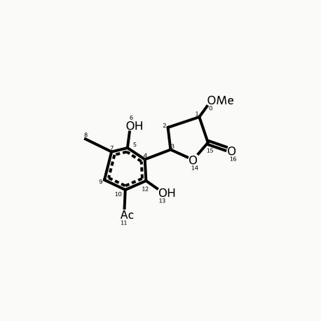 COC1CC(c2c(O)c(C)cc(C(C)=O)c2O)OC1=O